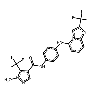 Cn1ncc(C(=O)Nc2ccc(Nc3cccc4nc(C(F)(F)F)cn34)cc2)c1C(F)(F)F